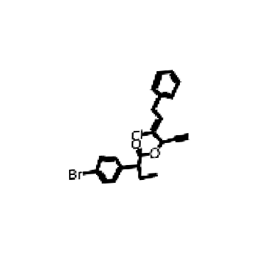 C#CC(OC(=O)C(CC)c1ccc(Br)cc1)C(Cl)=CCc1ccccc1